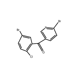 O=C(c1ccc(Br)nc1)c1cc(Br)ccc1Cl